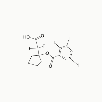 O=C(OC1(C(F)(F)C(=O)O)CCCC1)c1cc(I)cc(I)c1I